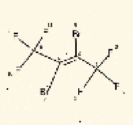 FC(F)(F)/C(Br)=C(\Br)C(F)(F)F